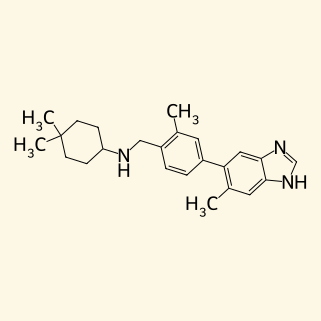 Cc1cc(-c2cc3nc[nH]c3cc2C)ccc1CNC1CCC(C)(C)CC1